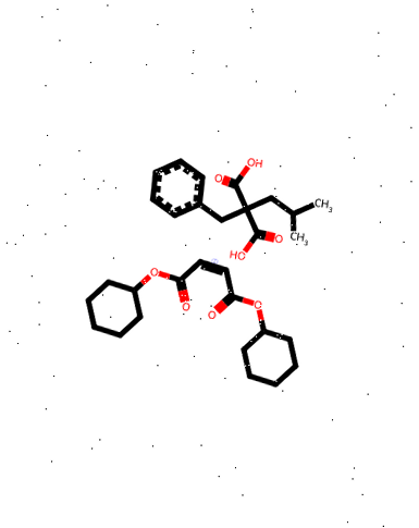 CC(C)CC(Cc1ccccc1)(C(=O)O)C(=O)O.O=C(/C=C\C(=O)OC1CCCCC1)OC1CCCCC1